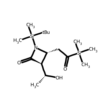 C[C@@H](O)[C@H]1C(=O)N([Si](C)(C)C(C)(C)C)[C@@H]1CC(=O)[Si](C)(C)C